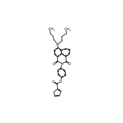 CCCCN(CCCC)c1ccc2c3c(cccc13)C(=O)N(c1ccc(OC(=O)C3=CC=CC3)cc1)C2=O